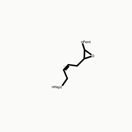 CCCCCCCC/C=C\CC1OC1CCCCC